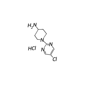 Cl.NC1CCN(c2ncc(Cl)cn2)CC1